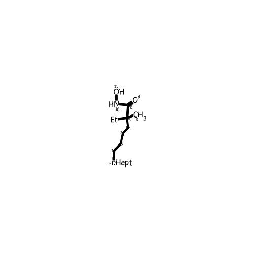 CCCCCCCCCCCC(C)(CC)C(=O)NO